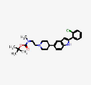 CN(CCN1CCC(c2ccc3[nH]c(-c4ccccc4Cl)cc3c2)CC1)C(=O)OC(C)(C)C